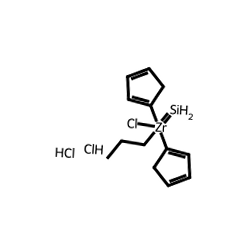 CC[CH2][Zr](=[SiH2])([Cl])([C]1=CC=CC1)[C]1=CC=CC1.Cl.Cl